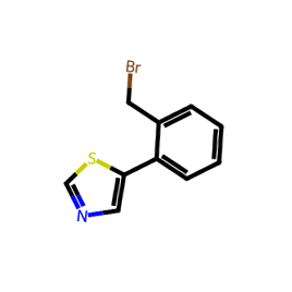 BrCc1ccccc1-c1cncs1